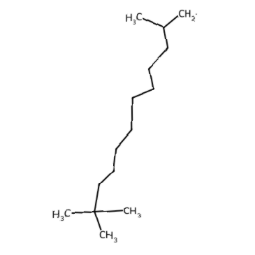 [CH2]C(C)CCCCCCCCC(C)(C)C